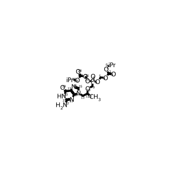 CC(C)OC(=O)OCOP(=O)(COC(C)Cn1cnc2c(=O)[nH]c(N)nc21)OOC(=O)OC(C)C